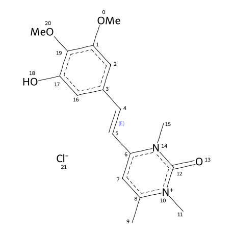 COc1cc(/C=C/c2cc(C)[n+](C)c(=O)n2C)cc(O)c1OC.[Cl-]